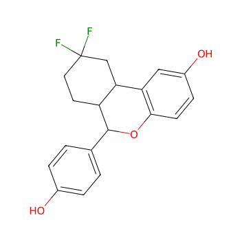 Oc1ccc(C2Oc3ccc(O)cc3C3CC(F)(F)CCC32)cc1